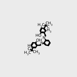 CC(C)(C)c1ccc(O)c(/C=N/c2ccccc2/N=C/c2cc(C(C)(C)C)ccc2O)c1